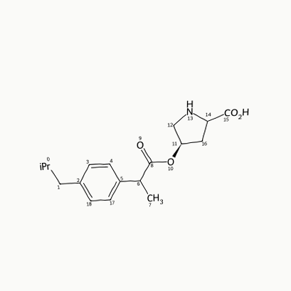 CC(C)Cc1ccc(C(C)C(=O)O[C@H]2CNC(C(=O)O)C2)cc1